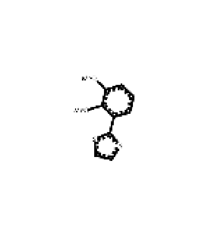 COc1cccc(-c2n[c]cs2)c1OC